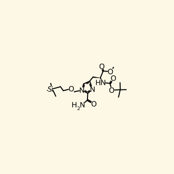 COC(=O)[C@H](Cc1cn(COCC[Si](C)(C)C)c(C(N)=O)n1)NC(=O)OC(C)(C)C